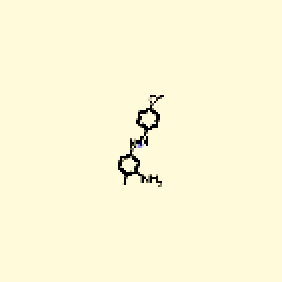 COc1ccc(/N=N/c2ccc(C)c(N)c2)cc1